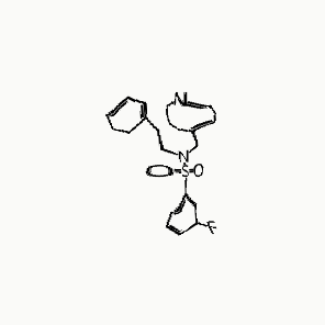 O=S(=O)(C1=CC=CC(F)C1)N(CCC1=CC=CCC1)CC1=CC=NCC1